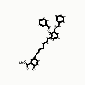 COC(=O)c1cc(OCCCCCCc2cccc(OCc3ccccc3)c2OCc2ccccc2)ccc1O